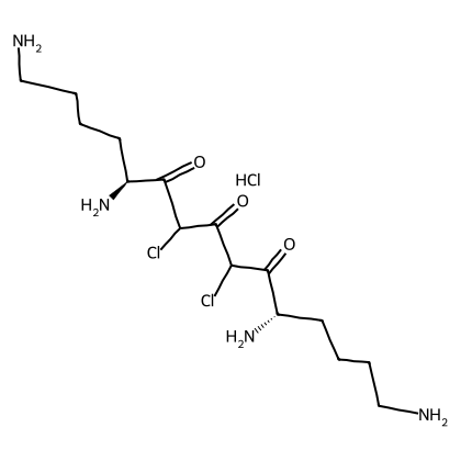 Cl.NCCCC[C@H](N)C(=O)C(Cl)C(=O)C(Cl)C(=O)[C@@H](N)CCCCN